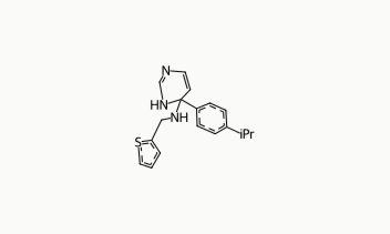 CC(C)c1ccc(C2(NCc3cccs3)C=CN=CN2)cc1